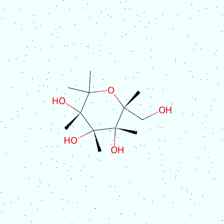 CC1(C)O[C@](C)(CO)[C@](C)(O)[C@](C)(O)[C@]1(C)O